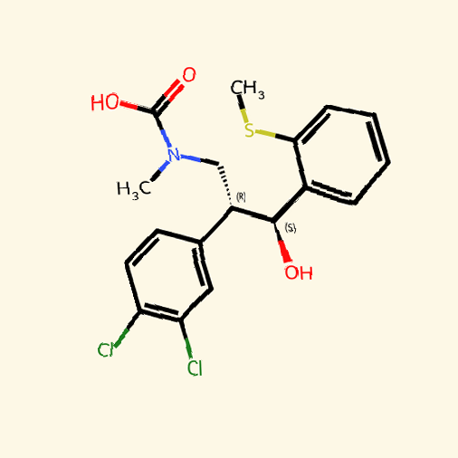 CSc1ccccc1[C@@H](O)[C@@H](CN(C)C(=O)O)c1ccc(Cl)c(Cl)c1